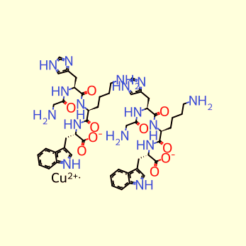 NCCCC[C@H](NC(=O)[C@H](Cc1c[nH]cn1)NC(=O)CN)C(=O)N[C@@H](Cc1c[nH]c2ccccc12)C(=O)[O-].NCCCC[C@H](NC(=O)[C@H](Cc1c[nH]cn1)NC(=O)CN)C(=O)N[C@@H](Cc1c[nH]c2ccccc12)C(=O)[O-].[Cu+2]